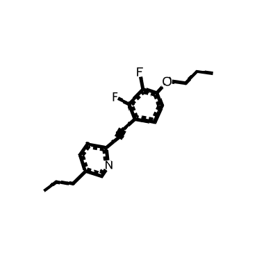 CCCOc1ccc(C#Cc2ccc(CCC)cn2)c(F)c1F